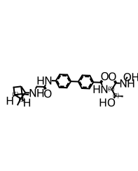 C[C@@H]1C(NCC(=O)Nc2ccc(-c3ccc(C(=O)N[C@H](C(=O)NO)[C@@H](C)O)cc3)cc2)C2C[C@@H]1C2(C)C